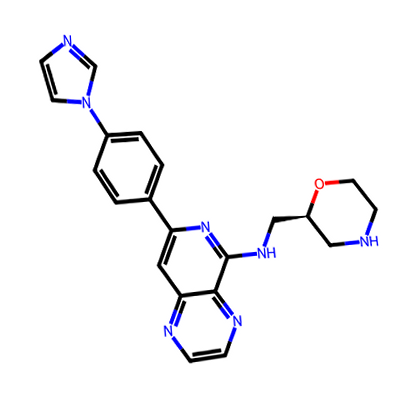 c1cn(-c2ccc(-c3cc4nccnc4c(NC[C@@H]4CNCCO4)n3)cc2)cn1